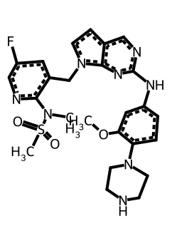 COc1cc(Nc2ncc3ccn(Cc4cc(F)cnc4N(C)S(C)(=O)=O)c3n2)ccc1N1CCNCC1